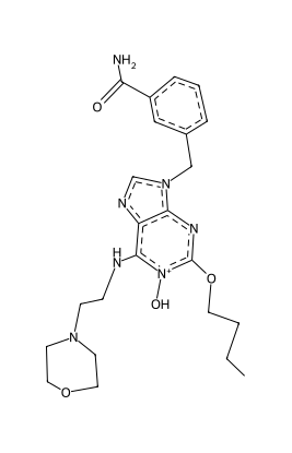 CCCCOc1nc2c(ncn2Cc2cccc(C(N)=O)c2)c(NCCN2CCOCC2)[n+]1O